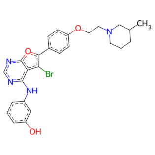 CC1CCCN(CCOc2ccc(-c3oc4ncnc(Nc5cccc(O)c5)c4c3Br)cc2)C1